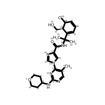 Cc1cnc(NC2CCOCC2)nc1-n1cnc(C(=O)NC(C)(C)C2=CC=CC(Cl)[C@@H]2CO)c1